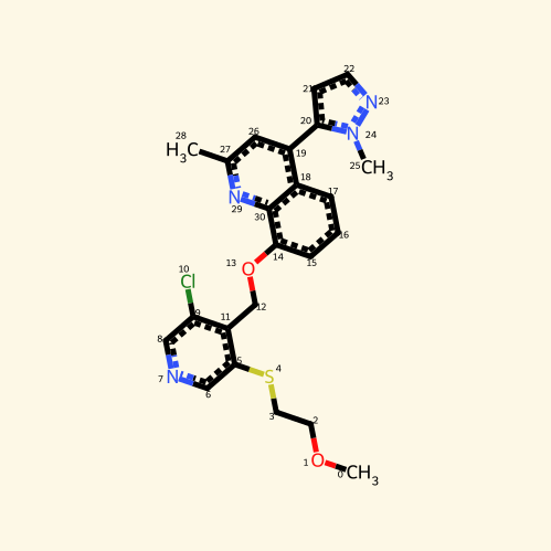 COCCSc1cncc(Cl)c1COc1cccc2c(-c3ccnn3C)cc(C)nc12